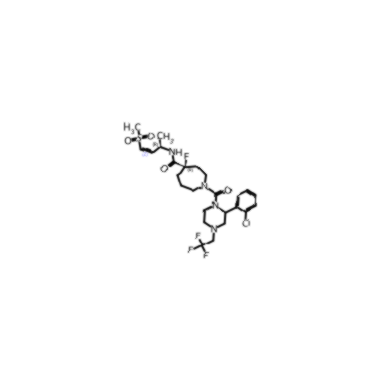 C[C@H](/C=C\S(C)(=O)=O)NC(=O)[C@@]1(F)CCCN(C(=O)N2CCN(CC(F)(F)F)CC2c2ccccc2Cl)CC1